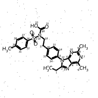 CCc1nc2c(C)nc(C)nc2n1-c1ccc(CCN(C(=O)O)S(=O)(=O)c2ccc(C)cc2)cc1